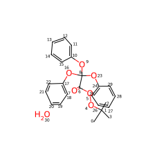 CC(C)(C)OOC(=O)C(Oc1ccccc1)(Oc1ccccc1)Oc1ccccc1.O